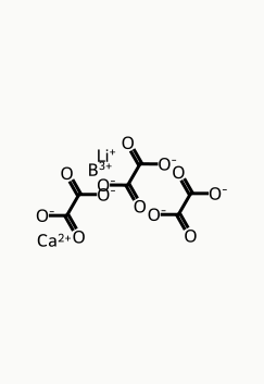 O=C([O-])C(=O)[O-].O=C([O-])C(=O)[O-].O=C([O-])C(=O)[O-].[B+3].[Ca+2].[Li+]